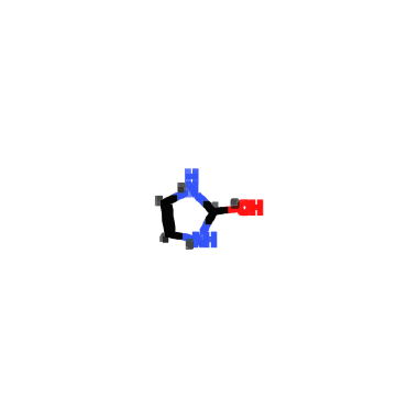 OC1NC=CN1